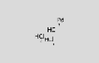 Cl.Cl.Cl.[Pd]